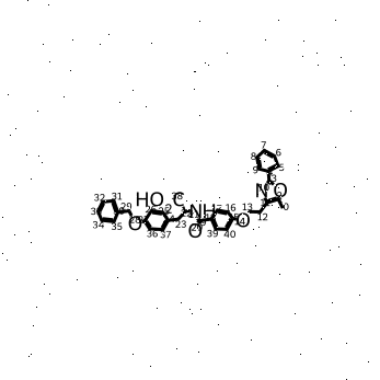 Cc1oc(-c2ccccc2)nc1CCOc1ccc(C(=O)N[C@@H](Cc2ccc(OCc3ccccc3)cc2)C(=O)O)cc1